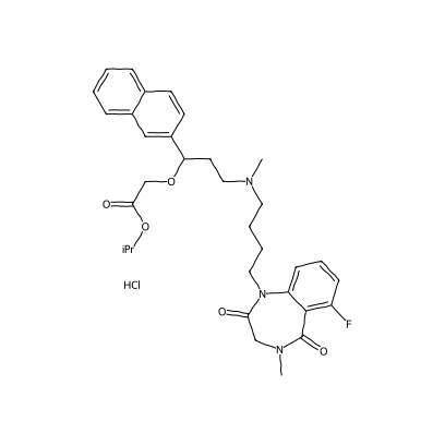 CC(C)OC(=O)COC(CCN(C)CCCCN1C(=O)CN(C)C(=O)c2c(F)cccc21)c1ccc2ccccc2c1.Cl